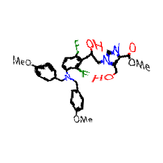 COC(=O)c1ncn(CC(O)c2c(F)ccc(N(Cc3ccc(OC)cc3)Cc3ccc(OC)cc3)c2F)c1CO